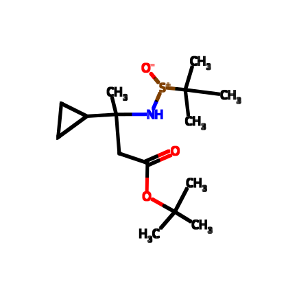 CC(C)(C)OC(=O)CC(C)(N[S+]([O-])C(C)(C)C)C1CC1